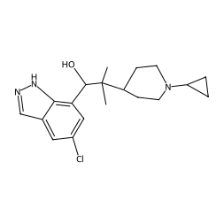 CC(C)(C1CCN(C2CC2)CC1)C(O)c1cc(Cl)cc2cn[nH]c12